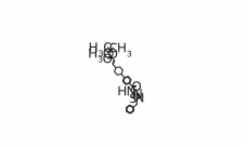 CC(C)(C)OC(=O)/C=C/C1CCC(c2ccc(C(=O)Nc3nnc(Cc4ccccc4)s3)cc2)CC1